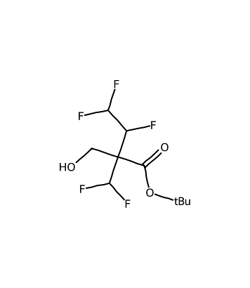 CC(C)(C)OC(=O)C(CO)(C(F)F)C(F)C(F)F